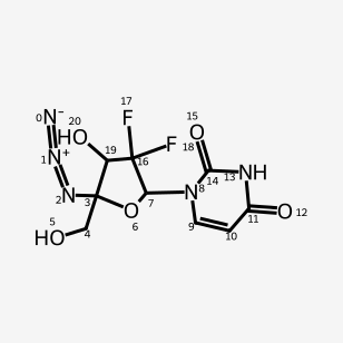 [N-]=[N+]=NC1(CO)OC(n2ccc(=O)[nH]c2=O)C(F)(F)C1O